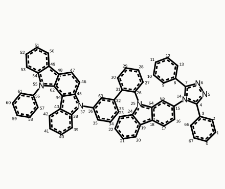 c1ccc(-c2nnc(-c3ccccc3)n2-c2ccc3c4ccccc4n(-c4ccccc4-c4cccc(-n5c6ccccc6c6c5ccc5c7ccccc7n(-c7ccccc7)c56)c4)c3c2)cc1